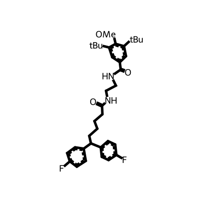 COc1c(C(C)(C)C)cc(C(=O)NCCNC(=O)CCCCC(c2ccc(F)cc2)c2ccc(F)cc2)cc1C(C)(C)C